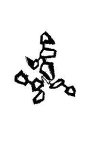 c1ccc(-c2ccc(N(c3ccc(-c4ccc(-c5ccccc5)cc4-c4ccccc4)cc3)c3cc(-c4ccccc4)cc(-c4ccccc4)c3)cc2)cc1